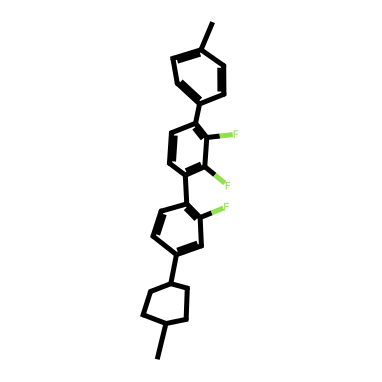 Cc1ccc(-c2ccc(-c3ccc(C4CCC(C)CC4)cc3F)c(F)c2F)cc1